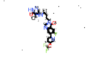 CC[C@@H](CCCn1cnc2cc(-c3ccc(OC(F)F)cn3)c(F)cc2c1=O)Nc1cn[nH]c(=O)c1C(F)(F)F